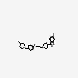 CC1CCN(Cc2ccc(OCCCN3CCC(c4noc5cc(F)ccc45)CC3)cc2)CC1